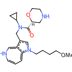 COCCCCn1cc(CN(C(=O)[C@H]2CNCCO2)C2CC2)c2c1=CC=CNC=2